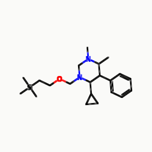 CC1C(c2ccccc2)C(C2CC2)N(COCC[Si](C)(C)C)CN1C